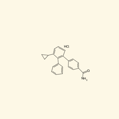 Cl.NC(=O)c1ccc(-c2cccc(C3CC3)c2-c2ccccc2)cc1